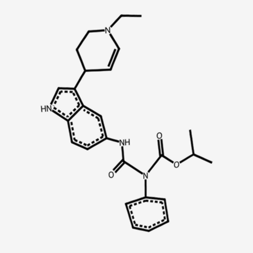 CCN1C=CC(c2c[nH]c3ccc(NC(=O)N(C(=O)OC(C)C)c4ccccc4)cc23)CC1